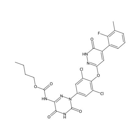 CCCCOC(=O)Nc1nn(-c2cc(Cl)c(Oc3cc(-c4cccc(C)c4F)c(=O)[nH]n3)c(Cl)c2)c(=O)[nH]c1=O